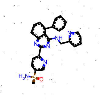 C=S(N)(=O)c1ccc(-c2nc(NCc3ccccn3)c3c(-c4ccccc4)cccc3n2)nc1